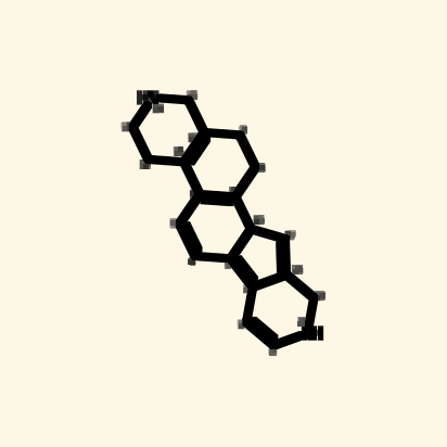 C1=CC2=C3C=CC4=C(CCC5=C4CCNC5)C3C=C2CN1